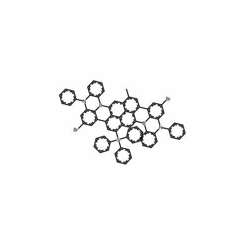 Cc1cc2c3c(cc4c([Si](c5ccccc5)(c5ccccc5)c5ccccc5)cc5c6c(cc1c3c46)B1c3ccccc3N(c3ccccc3)c3cc(Br)cc-5c31)B1c3ccccc3N(c3ccccc3)c3cc(Br)cc-2c31